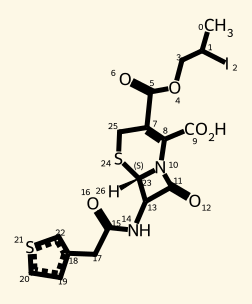 CC(I)COC(=O)C1=C(C(=O)O)N2C(=O)C(NC(=O)Cc3ccsc3)[C@@H]2SC1